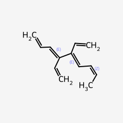 C=C/C=C(C=C)/C(C=C)=C/C=C\C